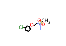 CS(=O)(=O)NCCOc1cccc(Cl)c1